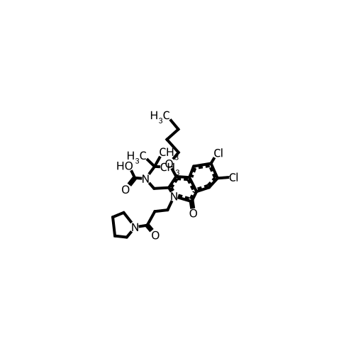 CCCCOc1c(CN(C(=O)O)C(C)(C)C)n(CCC(=O)N2CCCC2)c(=O)c2cc(Cl)c(Cl)cc12